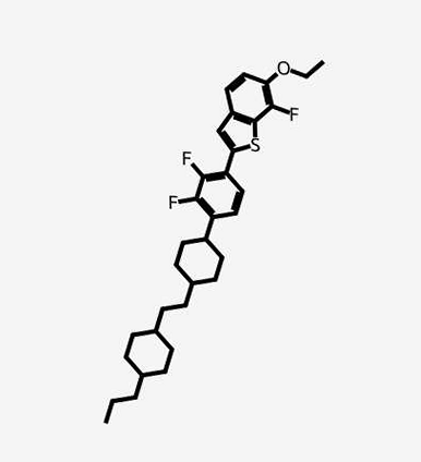 CCCC1CCC(CCC2CCC(c3ccc(-c4cc5ccc(OCC)c(F)c5s4)c(F)c3F)CC2)CC1